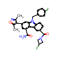 Cc1noc(C)c1-c1cc(C(N)=O)c2c3cc(C(=O)N4CC(F)C4)ccc3n(Cc3ccc(F)cc3)c2c1